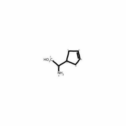 NC(C(=O)O)C1CC=CC1